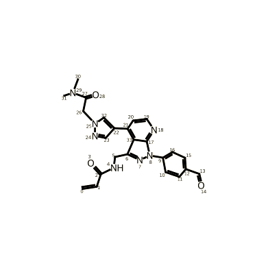 C=CC(=O)NCc1nn(-c2ccc(C=O)cc2)c2nccc(-c3cnn(CC(=O)N(C)C)c3)c12